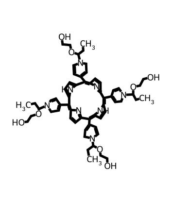 CCC(OCCO)N1C=CC(c2c3nc(c(C4=CCN(C(CC)OCCO)C=C4)c4ccc([nH]4)c(C4=CCN(C(CC)OCCO)C=C4)c4nc(c(C5=CCN(C(CC)OCCO)C=C5)c5ccc2[nH]5)C=C4)C=C3)=CC1